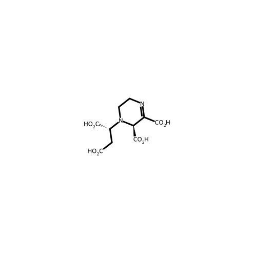 O=C(O)C[C@H](C(=O)O)N1CCN=C(C(=O)O)[C@H]1C(=O)O